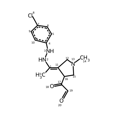 CC(NNc1ccc(Cl)cc1)=C1CN(C)CC1C(=O)C=O